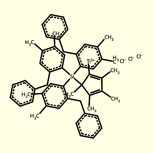 CC1=C(C)C(C)([Si](c2cc(C)c(C)cc2Cc2ccccc2)(c2cc(C)c(C)cc2Cc2ccccc2)c2cc(C)c(C)cc2Cc2ccccc2)[C]([Ti+3])=C1C.[Cl-].[Cl-].[Cl-]